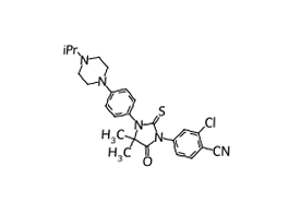 CC(C)N1CCN(c2ccc(N3C(=S)N(c4ccc(C#N)c(Cl)c4)C(=O)C3(C)C)cc2)CC1